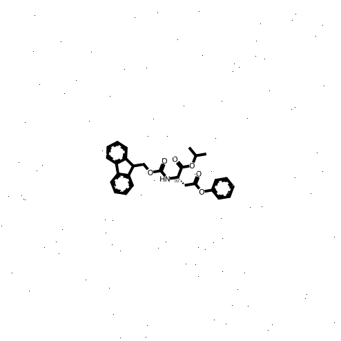 CC(C)OC(=O)[C@H](CC(=O)Oc1ccccc1)NC(=O)OCC1c2ccccc2-c2ccccc21